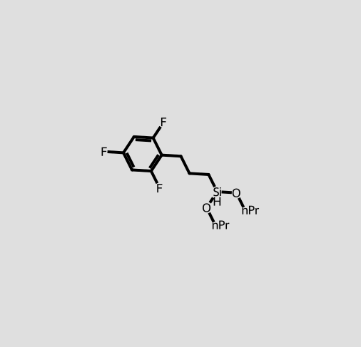 CCCO[SiH](CCCc1c(F)cc(F)cc1F)OCCC